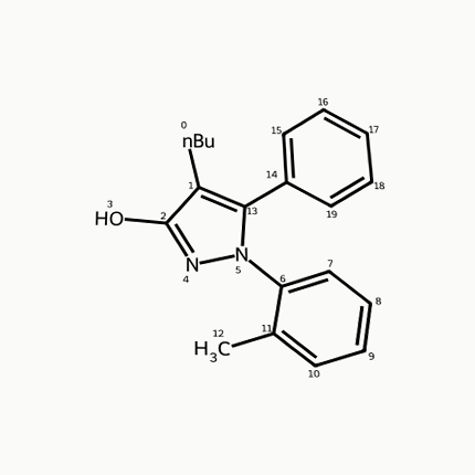 CCCCc1c(O)nn(-c2ccccc2C)c1-c1ccccc1